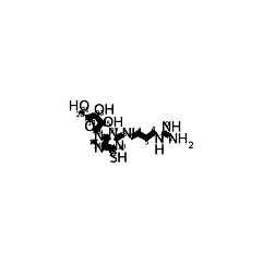 N=C(N)NCCCCNc1nc(S)c2ncn([C@@H]3O[C@H](CO)C(O)[C@@H]3O)c2n1